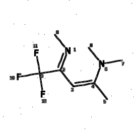 C/N=C(/C=C(/C)N(C)C)C(F)(F)F